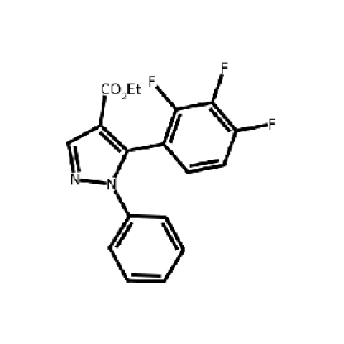 CCOC(=O)c1cnn(-c2ccccc2)c1-c1ccc(F)c(F)c1F